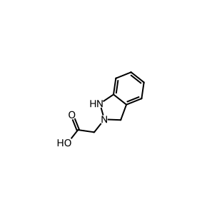 O=C(O)CN1Cc2ccccc2N1